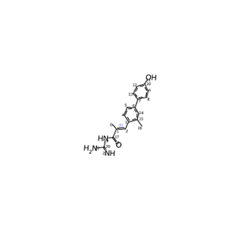 C/C(=C\c1ccc(-c2ccc(O)cc2)cc1C)C(=O)NC(=N)N